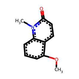 COc1cccc2c1ccc(=O)n2C